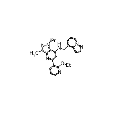 CCOc1ncccc1-c1cc(NCc2cccn3nccc23)c2c(n1)c(C)nn2C(C)C